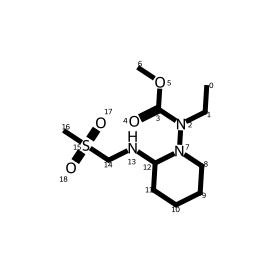 CCN(C(=O)OC)N1CCCCC1NCS(C)(=O)=O